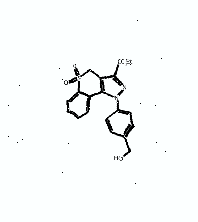 CCOC(=O)c1nn(-c2ccc(CO)cc2)c2c1CS(=O)(=O)c1ccccc1-2